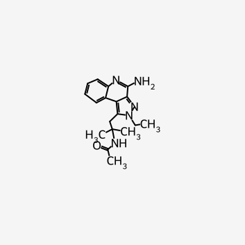 CCn1nc2c(N)nc3ccccc3c2c1CC(C)(C)NC(C)=O